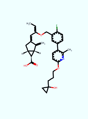 C=C1/C(=C\C(=C/C)OCc2cc(-c3ccc(OCCCC4(O)CC4)nc3C)ccc2F)C[C@@H]2[C@H]1[C@H]2C(=O)O